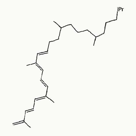 C=C(C)C=CC=C(C)C=CC=C(C)C=CCCC(C)CCCC(C)CCCC(C)C